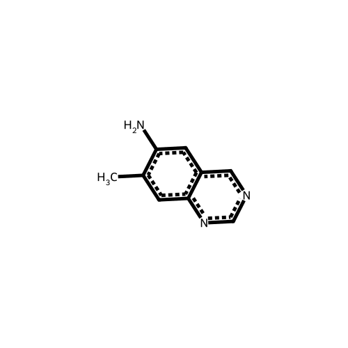 Cc1cc2ncncc2cc1N